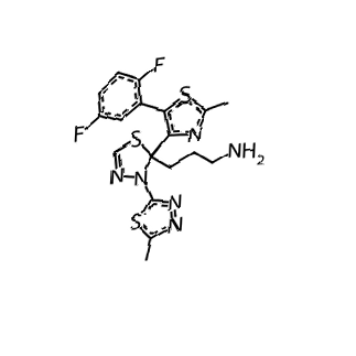 Cc1nnc(N2N=CSC2(CCCN)c2nc(C)sc2-c2cc(F)ccc2F)s1